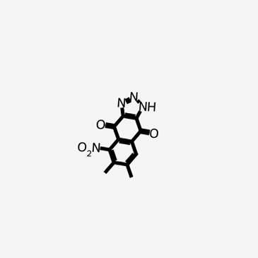 Cc1cc2c(c([N+](=O)[O-])c1C)C(=O)c1nn[nH]c1C2=O